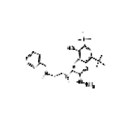 CN(CCN(C)C(=Cc1cc(C(C)(C)C)cc(C(C)(C)C)c1O)C(=O)NN)Cc1ccccc1